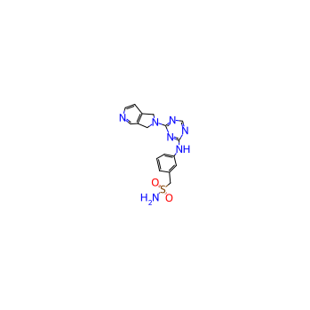 NS(=O)(=O)Cc1cccc(Nc2ncnc(N3Cc4ccncc4C3)n2)c1